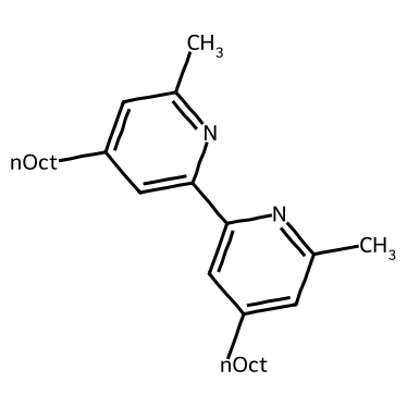 CCCCCCCCc1cc(C)nc(-c2cc(CCCCCCCC)cc(C)n2)c1